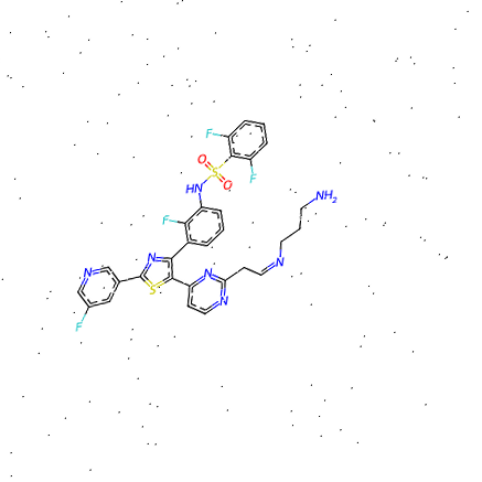 NCCC/N=C\Cc1nccc(-c2sc(-c3cncc(F)c3)nc2-c2cccc(NS(=O)(=O)c3c(F)cccc3F)c2F)n1